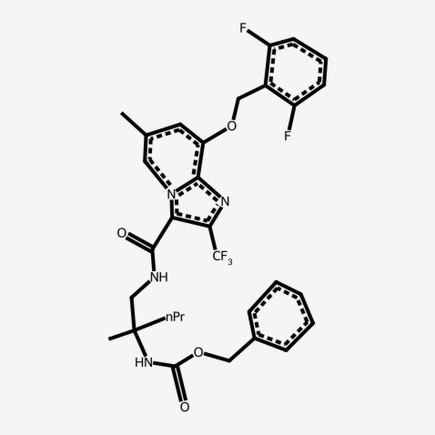 CCCC(C)(CNC(=O)c1c(C(F)(F)F)nc2c(OCc3c(F)cccc3F)cc(C)cn12)NC(=O)OCc1ccccc1